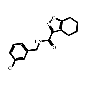 O=C(NCc1cccc(Cl)c1)c1noc2c1CCCC2